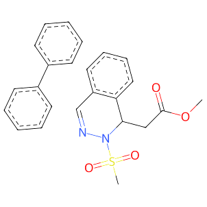 COC(=O)CC1c2ccccc2C=NN1S(C)(=O)=O.c1ccc(-c2ccccc2)cc1